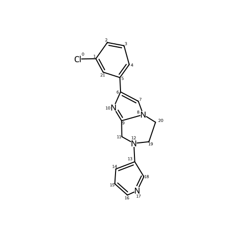 Clc1cccc(-c2cn3c(n2)CN(c2cccnc2)CC3)c1